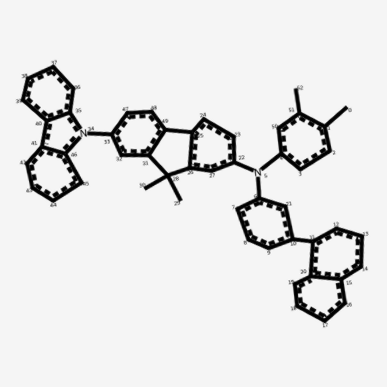 Cc1ccc(N(c2cccc(-c3cccc4ccccc34)c2)c2ccc3c(c2)C(C)(C)c2cc(-n4c5ccccc5c5ccccc54)ccc2-3)cc1C